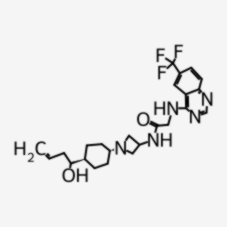 C=CCC(O)[C@H]1CC[C@H](N2CC(NC(=O)CNc3ncnc4ccc(C(F)(F)F)cc34)C2)CC1